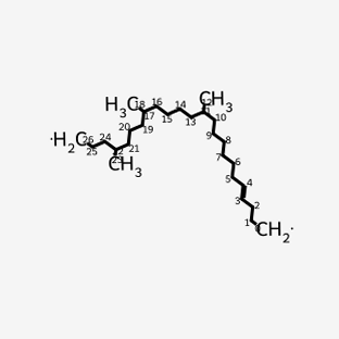 [CH2]CCC=CCCCCCCC(C)CCCCC(C)CCCC(C)CC[CH2]